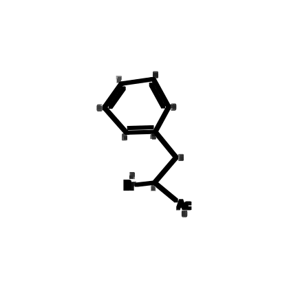 CC(=O)C(Br)Cc1ccccc1